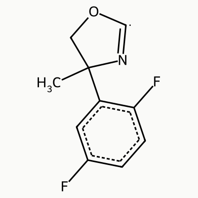 CC1(c2cc(F)ccc2F)CO[C]=N1